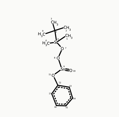 CC(C)(C)[Si](C)(C)O[O][Sn](=[O])[O]c1ccccc1